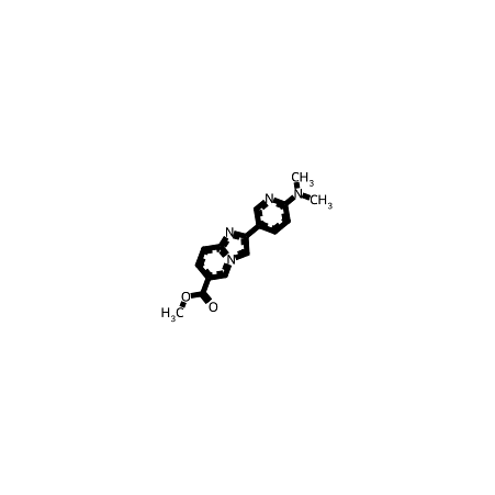 COC(=O)c1ccc2nc(-c3ccc(N(C)C)nc3)cn2c1